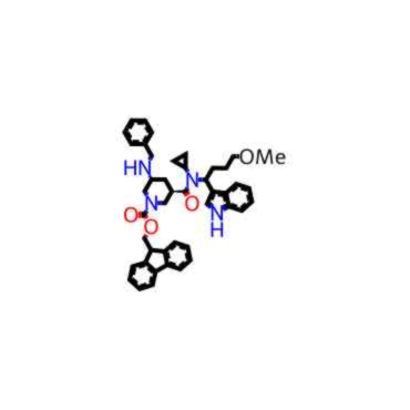 COCCCC(c1c[nH]c2ccccc12)N(C(=O)[C@@H]1C[C@H](NCc2ccccc2)CN(C(=O)OCC2c3ccccc3-c3ccccc32)C1)C1CC1